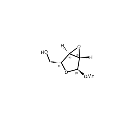 CO[C@H]1O[C@H](CO)[C@H]2O[C@H]12